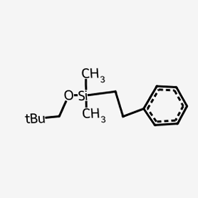 CC(C)(C)CO[Si](C)(C)CCc1ccccc1